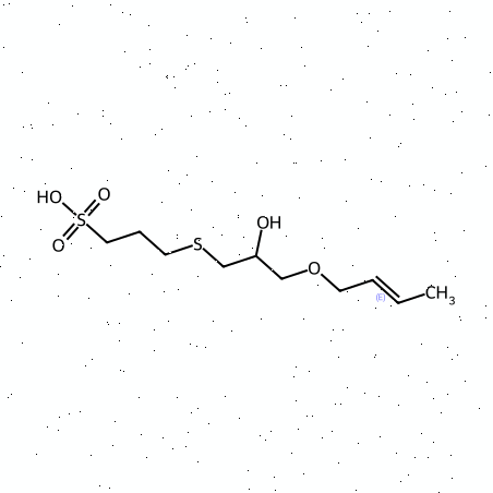 C/C=C/COCC(O)CSCCCS(=O)(=O)O